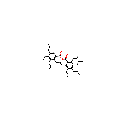 CCCc1cc(C(=O)OC(=O)c2cc(CCC)c(CCC)c(CCC)c2CCC)c(CCC)c(CCC)c1CCC